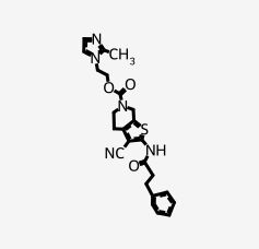 Cc1nccn1CCOC(=O)N1CCc2c(sc(NC(=O)CCc3ccccc3)c2C#N)C1